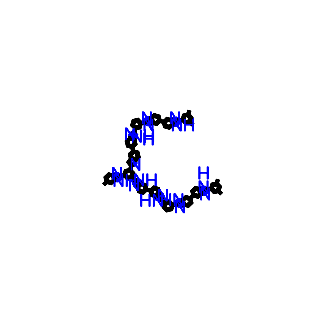 Cc1cc(C)cc(-c2nc3cc(-c4ccc5nc(-c6cccc(-c7nc8ccc(-c9ccc%10c(c9)CC(c9cc(-c%11nc%12ccc(C)cc%12[nH]%11)cc(-c%11nc%12ccc(-c%13ccc%14nc(-c%15cccc(-c%16nc%17ccc(-c%18ccc%19[nH]c(-c%20cc(C)cc(C)c%20)nc%19c%18)cc%17[nH]%16)c%15)[nH]c%14c%13)cc%12[nH]%11)c9)=N%10)cc8[nH]7)c6)[nH]c5c4)ccc3[nH]2)c1